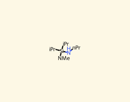 CCCN[Si](NC)(C(C)C)C(C)C